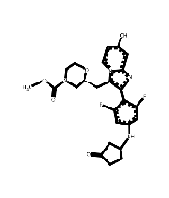 COC(=O)N1CCO[C@@H](Cc2c(-c3c(F)cc(NC4CCC(=O)C4)cc3F)nc3cc(C)ccn23)C1